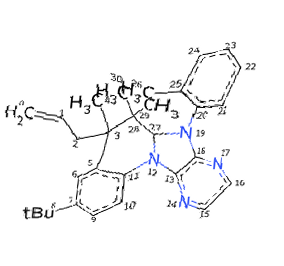 C=CCC1(C)c2cc(C(C)(C)C)ccc2N2c3nccnc3N(c3ccccc3C)C2C1(C)C